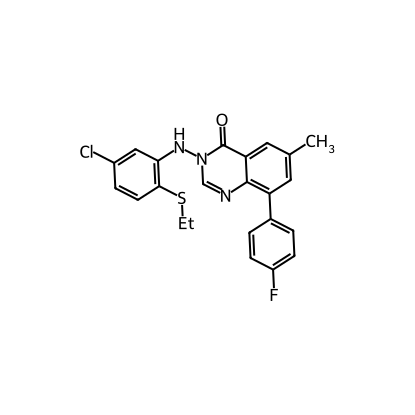 CCSc1ccc(Cl)cc1Nn1cnc2c(-c3ccc(F)cc3)cc(C)cc2c1=O